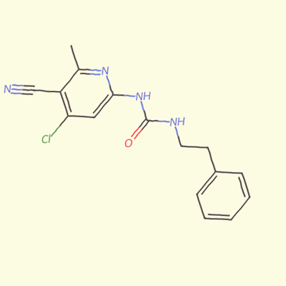 Cc1nc(NC(=O)NCCc2ccccc2)cc(Cl)c1C#N